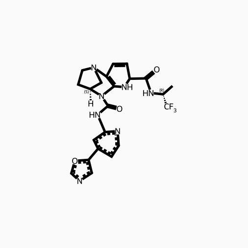 C[C@@H](NC(=O)C1C=CC2=C(N1)N(C(=O)Nc1cc(-c3cnco3)ccn1)[C@H]1CCN2C1)C(F)(F)F